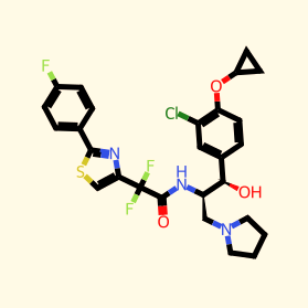 O=C(N[C@H](CN1CCCC1)[C@H](O)c1ccc(OC2CC2)c(Cl)c1)C(F)(F)c1csc(-c2ccc(F)cc2)n1